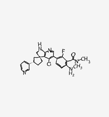 CN(C)C(=O)c1c(N)ccc(-c2cnc3c(c2Cl)[C@@]2(CC[C@H](c4cccnc4)C2)CN3)c1F